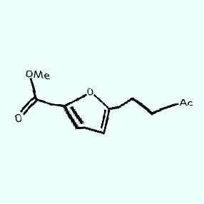 COC(=O)c1ccc(CCC(C)=O)o1